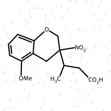 COc1cccc2c1CC(C(C)CC(=O)O)([N+](=O)[O-])CO2